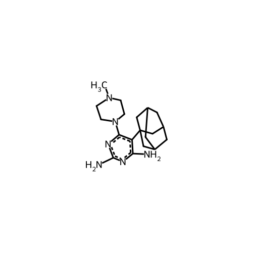 CN1CCN(c2nc(N)nc(N)c2C23CC4CC(CC(C4)C2)C3)CC1